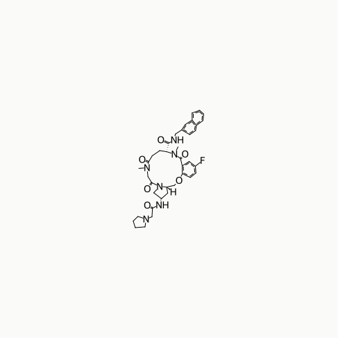 CN1CC(=O)N2C[C@@H](NC(=O)CN3CCCC3)C[C@H]2COc2ccc(F)cc2C(=O)N(C)[C@@H](C(=O)NCc2ccc3ccccc3c2)CCC1=O